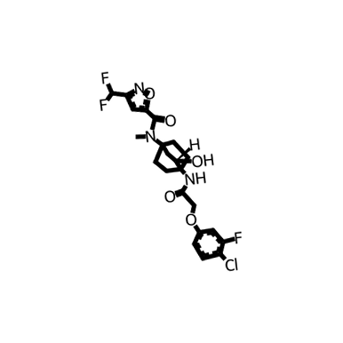 CN(C(=O)c1cc(C(F)F)no1)C12CCC(NC(=O)COc3ccc(Cl)c(F)c3)(CC1)[C@@H](O)C2